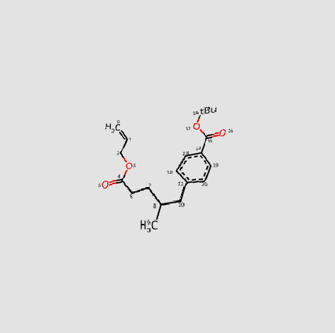 C=CCOC(=O)CCC(C)Cc1ccc(C(=O)OC(C)(C)C)cc1